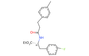 CCOC(=O)[C@@H](Cc1ccc(F)cc1)NC(=O)CCc1ccc(C)cc1